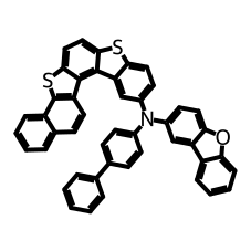 c1ccc(-c2ccc(N(c3ccc4oc5ccccc5c4c3)c3ccc4sc5ccc6sc7c8ccccc8ccc7c6c5c4c3)cc2)cc1